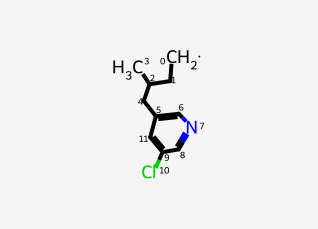 [CH2]CC(C)Cc1cncc(Cl)c1